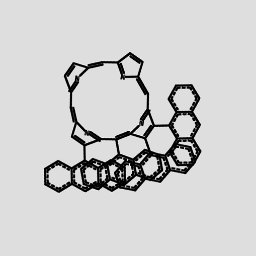 C1=CC2=NC1=CC1=NC(=C(c3c4ccccc4cc4ccccc34)C3=NC(=CC4=NC(=C2)C=C4)C=C3c2c3ccccc3cc3ccccc23)C(c2c3ccccc3cc3ccccc23)=C1c1c2ccccc2cc2ccccc12